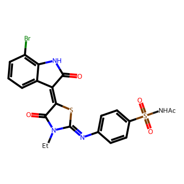 CCN1C(=O)/C(=C2/C(=O)Nc3c(Br)cccc32)S/C1=N\c1ccc(S(=O)(=O)NC(C)=O)cc1